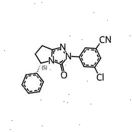 N#Cc1cc(Cl)cc(-n2nc3n(c2=O)[C@H](c2ccccc2)CC3)c1